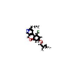 CC(=O)Nc1cc2c(cn1)COc1cc(OC[C@H](C)CC(C)C)cc(F)c1-2